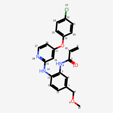 C=CC(=O)Nc1cc(COC)ccc1Nc1cc(Oc2ccc(Cl)cc2)ccn1